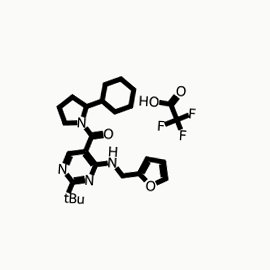 CC(C)(C)c1ncc(C(=O)N2CCCC2C2CCCCC2)c(NCc2ccco2)n1.O=C(O)C(F)(F)F